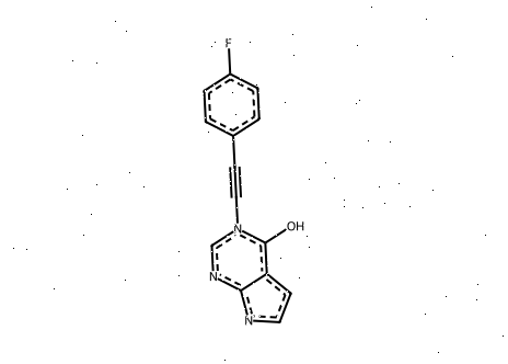 Oc1c2ccnc-2ncn1C#Cc1ccc(F)cc1